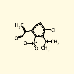 C=C(C=O)c1ccc(Cl)c(N(C)C)c1[N+](=O)[O-]